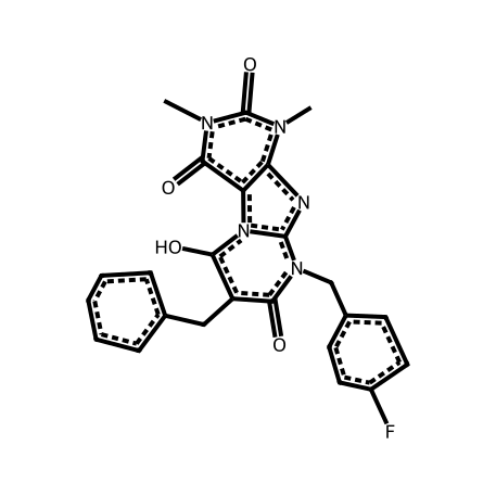 Cn1c(=O)c2c(nc3n(Cc4ccc(F)cc4)c(=O)c(Cc4ccccc4)c(O)n23)n(C)c1=O